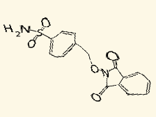 NS(=O)(=O)c1ccc(CON2C(=O)c3ccccc3C2=O)cc1